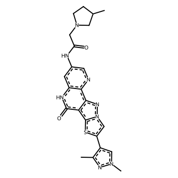 Cc1nn(C)cc1-c1cn2nc3c4ncc(NC(=O)CN5CCC(C)C5)cc4[nH]c(=O)c3c2s1